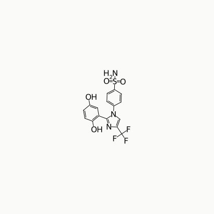 NS(=O)(=O)c1ccc(-n2cc(C(F)(F)F)nc2-c2cc(O)ccc2O)cc1